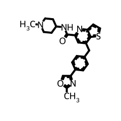 Cc1nc(-c2ccc(Cc3cc(C(=O)NC4CCN(C)CC4)nc4ccsc34)cc2)co1